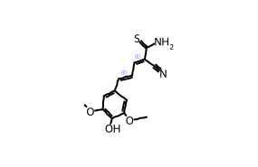 COc1cc(/C=C/C=C(\C#N)C(N)=S)cc(OC)c1O